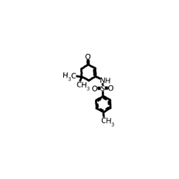 Cc1ccc(S(=O)(=O)NC2=CC(=O)CC(C)(C)C2)cc1